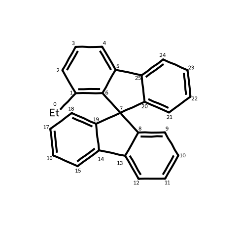 CCc1cccc2c1C1(c3ccccc3-c3ccccc31)c1ccccc1-2